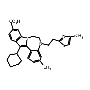 Cc1ccc2c(c1)N(CCc1nc(C)cs1)CCn1c-2c(C2CCCCC2)c2ccc(C(=O)O)cc21